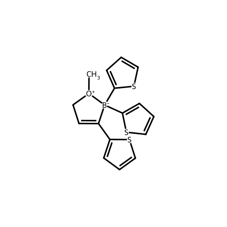 C[O+]1CC=C(c2cccs2)[B-]1(c1cccs1)c1cccs1